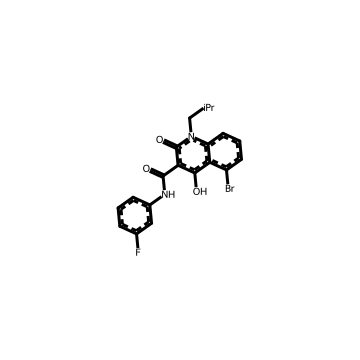 CC(C)Cn1c(=O)c(C(=O)Nc2cccc(F)c2)c(O)c2c(Br)cccc21